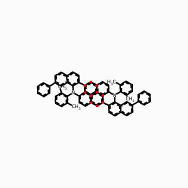 Cc1cccc(C)c1N(c1c(-c2ccccc2)ccc2ccc(-c3ccccc3)cc12)c1ccc2ccc3c(N(c4c(C)cccc4C)c4c(-c5ccccc5)ccc5ccc(-c6ccccc6)cc45)ccc4ccc1c2c43